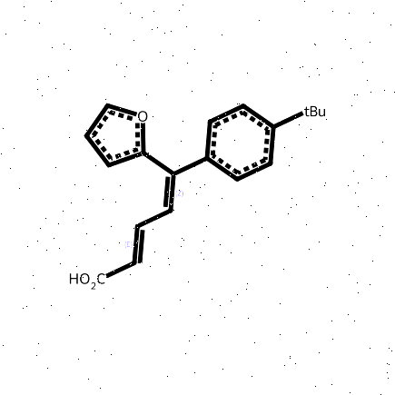 CC(C)(C)c1ccc(/C(=C/C=C/C(=O)O)c2ccco2)cc1